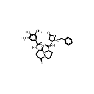 Cc1cc(C(=O)N[C@H]2CCC(=O)N3CCC[C@@H](C(=O)N[C@H]4CC(=O)O[C@H]4OCc4ccccc4)N3C2=O)cc(C)c1O